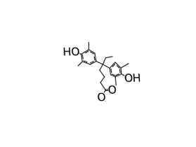 CCC(CCCC(=O)OC)(c1cc(C)c(O)c(C)c1)c1cc(C)c(O)c(C)c1